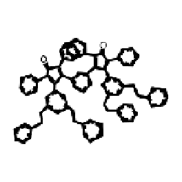 O=C1C(c2ccccc2)=C(c2cc(CCc3ccccc3)cc(CCc3ccccc3)c2)C(c2cccc(C3=C(c4ccccc4)C(=O)C(c4ccccc4)=C3c3cc(CCc4ccccc4)cc(CCc4ccccc4)c3)c2)=C1c1ccccc1